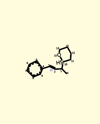 CC(/C=C/c1ccccc1)[SiH]1CCCCO1